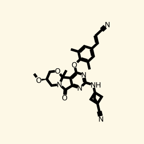 CO[C@H]1COC2(C)c3c(Oc4c(C)cc(/C=C/C#N)cc4C)nc(NC45CC(C#N)(C4)C5)nc3C(=O)N2C1